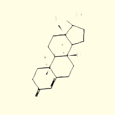 CC[C@]1(O)CC[C@H]2[C@H]3[C@H](CC[C@@]21C)[C@H]1CCC(=O)C=C1C[C@H]3C